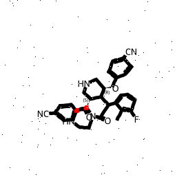 Cc1c(F)cccc1C(C(=O)N1CCNCC1)C1[C@@H](C(=O)c2ccc(C#N)cc2)CNC[C@H]1C(=O)c1ccc(C#N)cc1